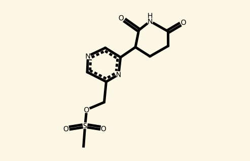 CS(=O)(=O)OCc1cncc(C2CCC(=O)NC2=O)n1